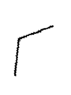 CCCCCCCCCCCCCCCCCCCCCCCCCCCC[CH2][Ni][CH2]CCCCCCCCCCCCCCCCCCCCCCCCCCCC